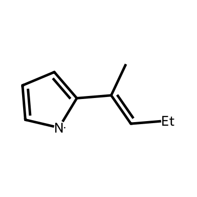 CC/C=C(\C)C1=CC=C[N]1